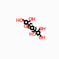 CCC(CC)(c1ccc(C(CC)(CC)c2c(O)cc(CO)cc2CO)cc1)c1c(O)cc(CO)cc1CO